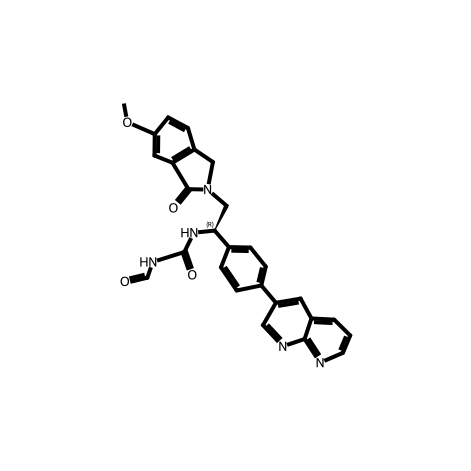 COc1ccc2c(c1)C(=O)N(C[C@H](NC(=O)NC=O)c1ccc(-c3cnc4ncccc4c3)cc1)C2